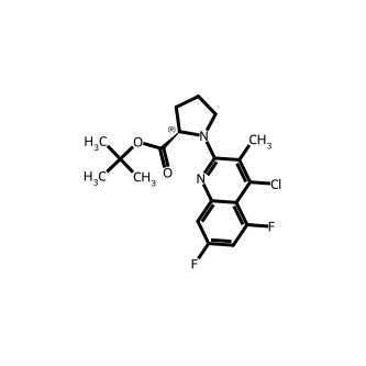 Cc1c(N2CCC[C@@H]2C(=O)OC(C)(C)C)nc2cc(F)cc(F)c2c1Cl